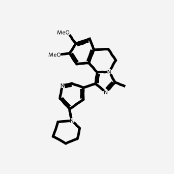 COc1cc2c(cc1OC)-c1c(-c3cncc(N4CCCCC4)c3)nc(C)n1CC2